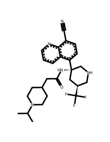 CC(C)N1CCC(CC(=O)N[C@]2(c3ccc(C#N)c4ncccc34)CNC[C@@H](C(F)(F)F)C2)CC1